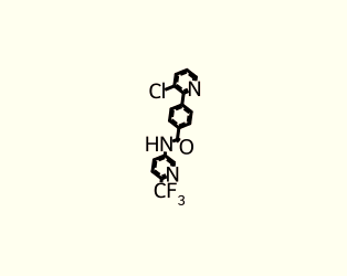 O=C(Nc1ccc(C(F)(F)F)nc1)c1ccc(-c2ncccc2Cl)cc1